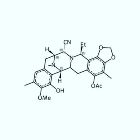 CC[C@H]1c2c(c(OC(C)=O)c(C)c3c2OCO3)CC2[C@@H]3c4c(cc(C)c(OC)c4O)C[C@H]([C@H](C#N)N21)N3C